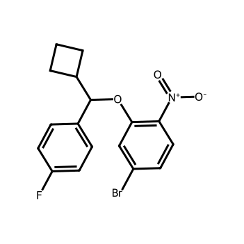 O=[N+]([O-])c1ccc(Br)cc1OC(c1ccc(F)cc1)C1CCC1